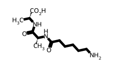 C[C@@H](NC(=O)[C@@H](C)NC(=O)CCCCCN)C(=O)O